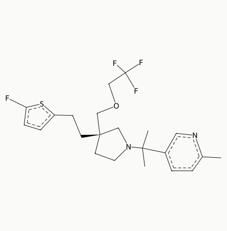 Cc1ccc(C(C)(C)N2CC[C@](CCc3ccc(F)s3)(COCC(F)(F)F)C2)cn1